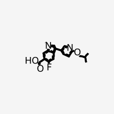 CC(C)COc1ccc(-c2cn(C)c3cc(C(=O)O)c(F)cc23)cn1